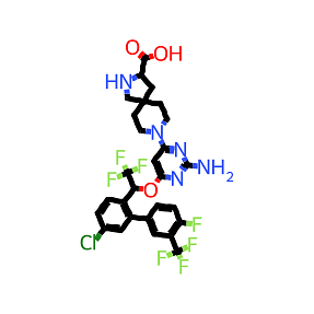 Nc1nc(OC(c2ccc(Cl)cc2-c2ccc(F)c(C(F)(F)F)c2)C(F)(F)F)cc(N2CCC3(CC2)CNC(C(=O)O)C3)n1